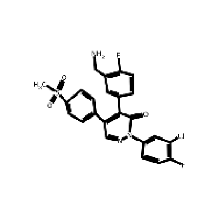 CS(=O)(=O)c1ccc(-c2cnn(-c3ccc(F)c(Cl)c3)c(=O)c2-c2ccc(F)c(CN)c2)cc1